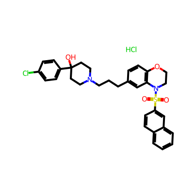 Cl.O=S(=O)(c1ccc2ccccc2c1)N1CCOc2ccc(CCCN3CCC(O)(c4ccc(Cl)cc4)CC3)cc21